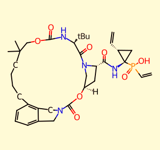 C=C[C@@H]1C[C@]1(NC(=O)[C@@H]1C[C@@H]2CN1C(=O)[C@H](C(C)(C)C)NC(=O)OCC(C)(C)CCCCc1cccc3c1CN(C3)C(=O)O2)P(=O)(O)C=C